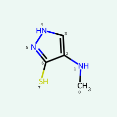 CNc1c[nH]nc1S